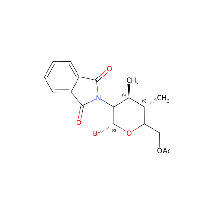 CC(=O)OCC1O[C@H](Br)C(N2C(=O)c3ccccc3C2=O)[C@@H](C)[C@@H]1C